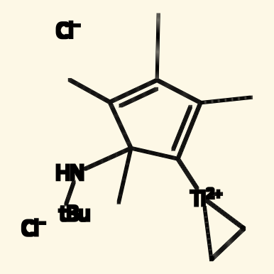 CC1=C(C)C(C)(NC(C)(C)C)[C]([Ti+2]2[CH2][CH2]2)=C1C.[Cl-].[Cl-]